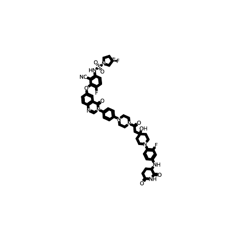 N#Cc1c(NS(=O)(=O)N2CC[C@@H](F)C2)ccc(F)c1Oc1ccc2ncn(-c3ccc(N4CCN(C(=O)CC5(O)CCN(c6ccc(NC7CCC(=O)NC7=O)cc6F)CC5)CC4)cc3)c(=O)c2c1